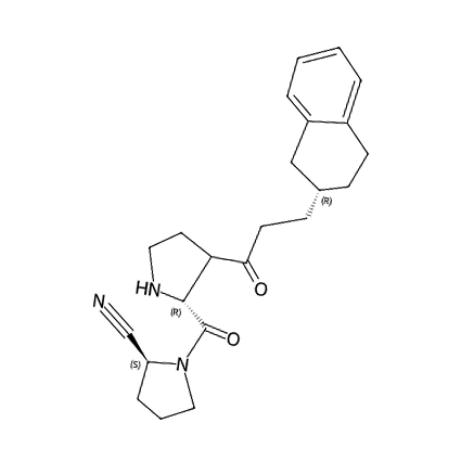 N#C[C@@H]1CCCN1C(=O)[C@@H]1NCCC1C(=O)CC[C@H]1CCc2ccccc2C1